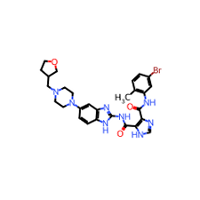 Cc1ccc(Br)cc1NC(=O)c1nc[nH]c1C(=O)Nc1nc2cc(N3CCN(CC4CCOC4)CC3)ccc2[nH]1